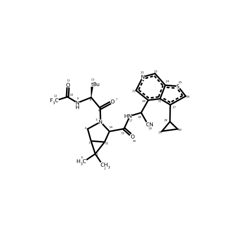 CC1(C)C2CN(C(=O)[C@@H](NC(=O)C(F)(F)F)C(C)(C)C)C(C(=O)NC(C#N)c3cncc4scc(C5CC5)c34)C21